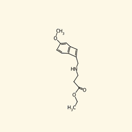 CCOC(=O)CCNCC1=Cc2cc(OC)ccc21